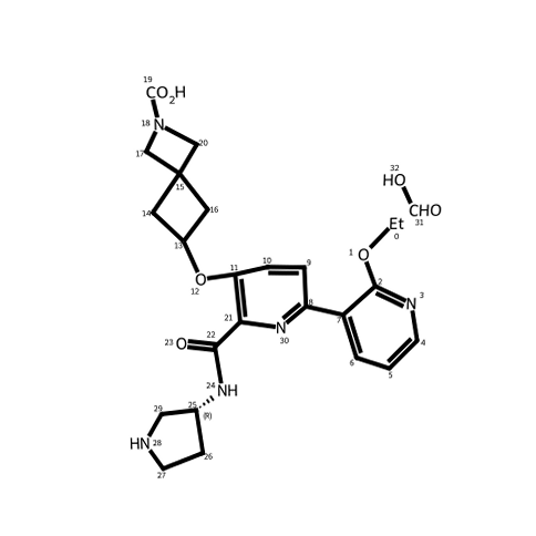 CCOc1ncccc1-c1ccc(OC2CC3(C2)CN(C(=O)O)C3)c(C(=O)N[C@@H]2CCNC2)n1.O=CO